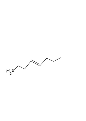 CCCC=CCCP